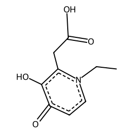 CCn1ccc(=O)c(O)c1CC(=O)O